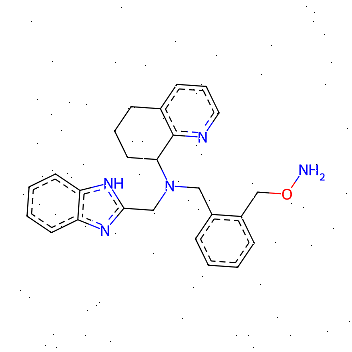 NOCc1ccccc1CN(Cc1nc2ccccc2[nH]1)C1CCCc2cccnc21